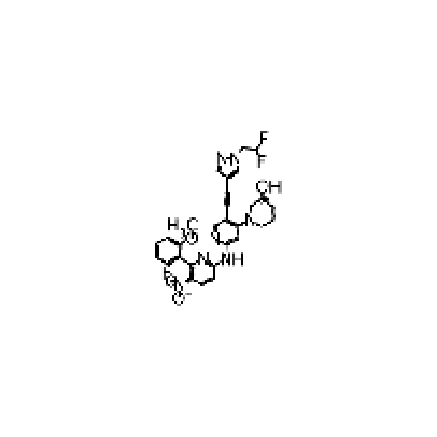 COc1cccc(F)c1-c1nc(Nc2cc(N3CCC[C@H](O)C3)c(C#Cc3cnn(CC(F)F)c3)cn2)ccc1[N+](=O)[O-]